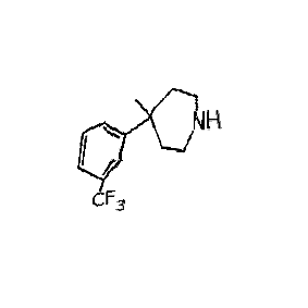 CC1(c2cccc(C(F)(F)F)c2)CCNCC1